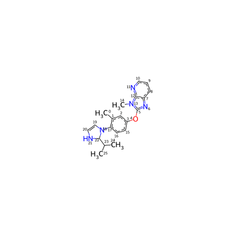 Cc1cc(Oc2nc3cccnc3n2C)ccc1N1C=CNC1C(C)C